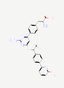 COc1cccc(-c2ccc(C(Oc3cc(-c4ccc(CC(N)C(=O)O)cc4)nc(N)n3)C(F)(F)F)cc2)n1